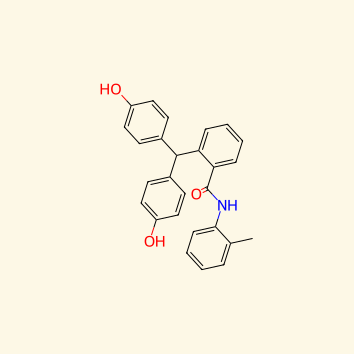 Cc1ccccc1NC(=O)c1ccccc1C(c1ccc(O)cc1)c1ccc(O)cc1